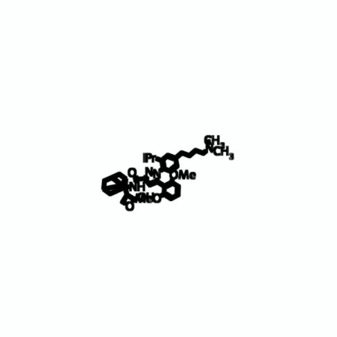 COc1cccc(OC)c1-c1cc(C(=O)NC2(C3COC3O)C3CC4CC(C3)CC2C4)nn1-c1ccc(CCCCN(C)C)cc1C(C)C